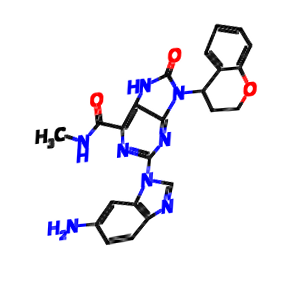 CNC(=O)c1nc(-n2cnc3ccc(N)cc32)nc2c1[nH]c(=O)n2C1CCOc2ccccc21